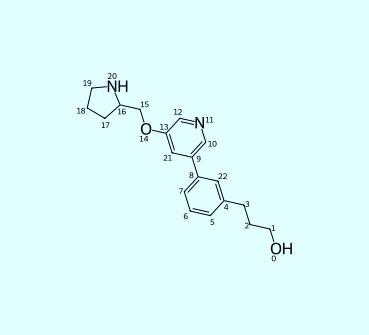 OCCCc1cccc(-c2cncc(OCC3CCCN3)c2)c1